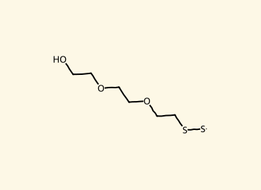 OCCOCCOCCS[S]